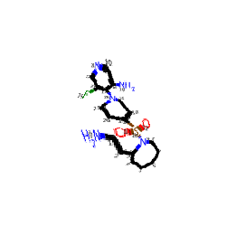 NCCC1CCCCCN1S(=O)(=O)C1CCN(c2c(N)cncc2F)CC1